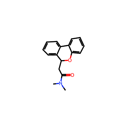 CN(C)C(=O)CC1Oc2ccccc2-c2ccccc21